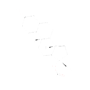 C#C[C@]1(OC(C)=O)CC[C@H]2[C@@H]3CCC4=CC(=O)CC[C@]4(C)[C@H]3CC[C@@]21C